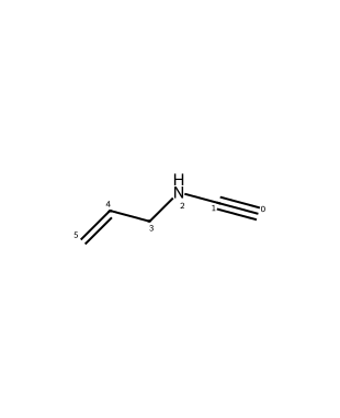 C#CNCC=C